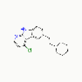 Clc1ccnc2[nH]c3ccc(CCC4CCCCC4)cc3c12